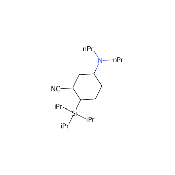 CCCN(CCC)C1CCC([Si](C(C)C)(C(C)C)C(C)C)C(C#N)C1